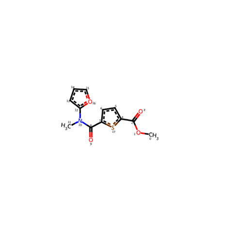 COC(=O)c1ccc(C(=O)N(C)c2ccco2)s1